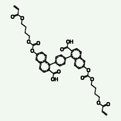 C=CC(=O)OCCCCOC(=O)Oc1ccc2c(-c3ccc(-c4c(C(=O)O)ccc5cc(OC(=O)OCCCCOC(=O)C=C)ccc45)cc3)c(C(=O)O)ccc2c1